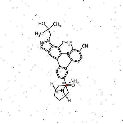 Cc1c(F)c(-c2ccc(C(=O)N3[C@@H]4CC[C@H]3C[C@@H](N)C4)cc2-c2ccc(C#N)c(F)c2)cc2nnn(CC(C)(C)O)c12